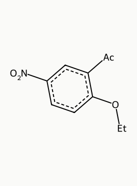 CCOc1ccc([N+](=O)[O-])cc1C(C)=O